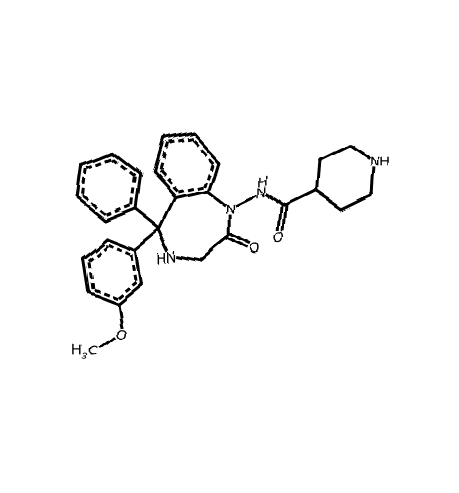 COc1cccc(C2(c3ccccc3)NCC(=O)N(NC(=O)C3CCNCC3)c3ccccc32)c1